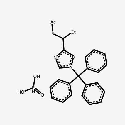 CCC(SC(C)=O)c1ncn(C(c2ccccc2)(c2ccccc2)c2ccccc2)n1.O=[PH](O)O